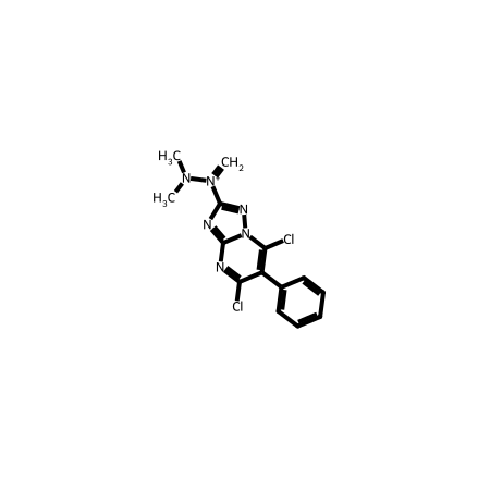 C=[N+](c1nc2nc(Cl)c(-c3ccccc3)c(Cl)n2n1)N(C)C